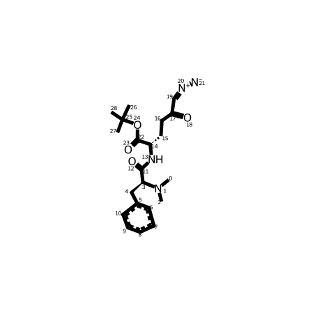 CN(C)[C@@H](Cc1ccccc1)C(=O)N[C@@H](CCC(=O)C=[N+]=[N-])C(=O)OC(C)(C)C